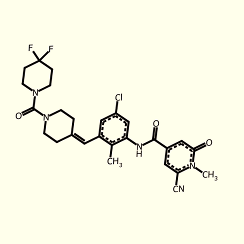 Cc1c(C=C2CCN(C(=O)N3CCC(F)(F)CC3)CC2)cc(Cl)cc1NC(=O)c1cc(C#N)n(C)c(=O)c1